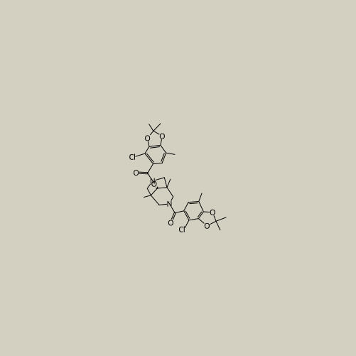 Cc1cc(C(=O)N2CC3(C)CN(C(=O)c4cc(C)c5c(c4Cl)OC(C)(C)O5)CC(C)(C2)C3=O)c(Cl)c2c1OC(C)(C)O2